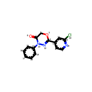 O=C1COC(c2ccnc(Cl)c2)=NN1c1ccccc1